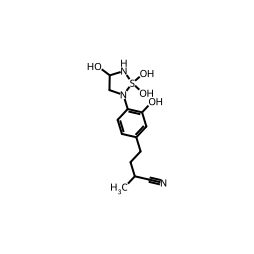 CC(C#N)CCc1ccc(N2CC(O)NS2(O)O)c(O)c1